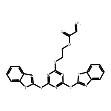 C=CC(=O)OCCSc1nc(Sc2nc3ccccc3s2)nc(Sc2nc3ccccc3s2)n1